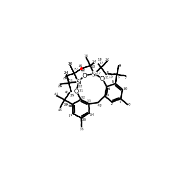 Cc1cc2c(c(C(C)(C)C)c1)O[Si](C(C)(C)C)(C(C)(C)C)O[Si](C(C)(C)C)(C(C)(C)C)Oc1c(cc(C)cc1C(C)(C)C)C2